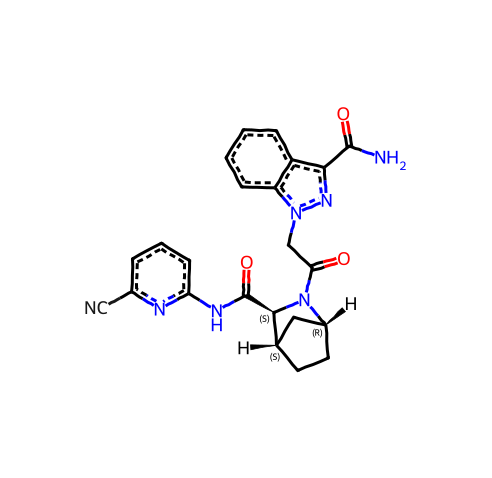 N#Cc1cccc(NC(=O)[C@@H]2[C@H]3CC[C@H](C3)N2C(=O)Cn2nc(C(N)=O)c3ccccc32)n1